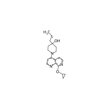 CSCC1(O)CCN(c2ccnc3c(OC4CC4)nccc23)CC1